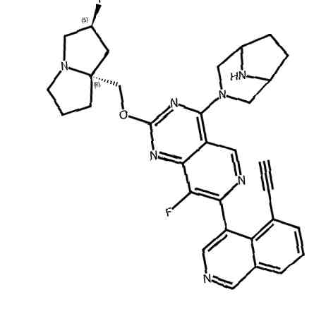 C#Cc1cccc2cncc(-c3ncc4c(N5CC6CCC(C5)N6)nc(OC[C@]56CCCN5C[C@@H](F)C6)nc4c3F)c12